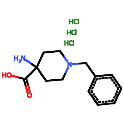 Cl.Cl.Cl.NC1(C(=O)O)CCN(Cc2ccccc2)CC1